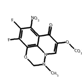 CN1COc2c(F)c(F)c([N+](=O)[O-])c3c(=O)c(OC(=O)O)cn1c23